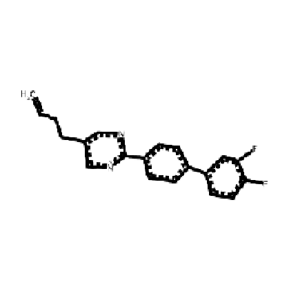 C=CCCc1cnc(-c2ccc(-c3ccc(F)c(F)c3)cc2)nc1